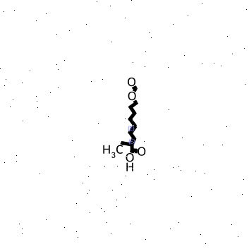 CC/C(=C\C=C\CCCCOC=O)C(=O)O